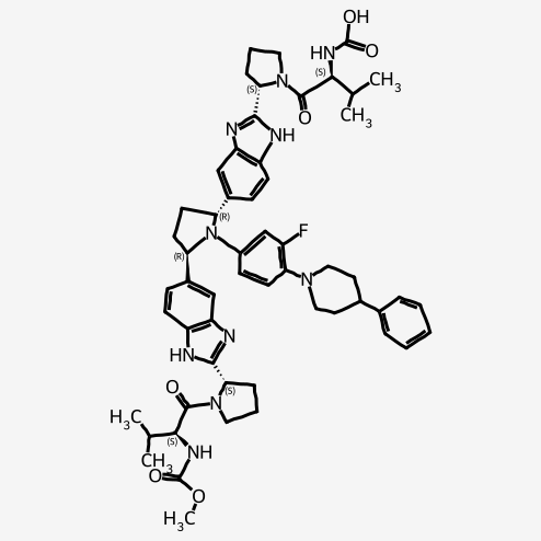 COC(=O)N[C@H](C(=O)N1CCC[C@H]1c1nc2cc([C@H]3CC[C@H](c4ccc5[nH]c([C@@H]6CCCN6C(=O)[C@@H](NC(=O)O)C(C)C)nc5c4)N3c3ccc(N4CCC(c5ccccc5)CC4)c(F)c3)ccc2[nH]1)C(C)C